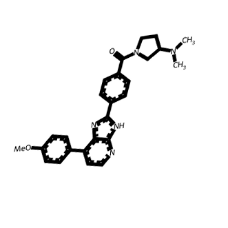 COc1ccc(-c2ccnc3[nH]c(-c4ccc(C(=O)N5CCC(N(C)C)C5)cc4)nc23)cc1